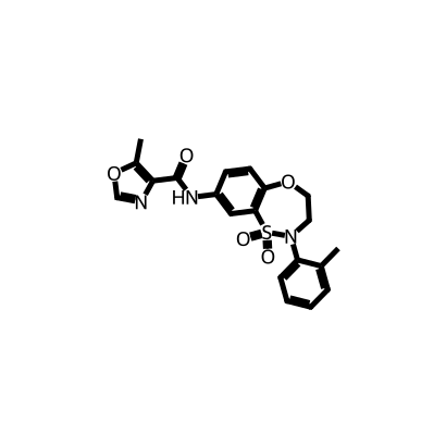 Cc1ccccc1N1CCOc2ccc(NC(=O)c3ncoc3C)cc2S1(=O)=O